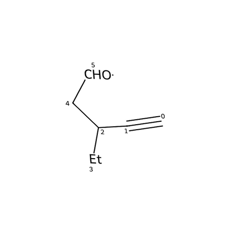 C#CC(CC)C[C]=O